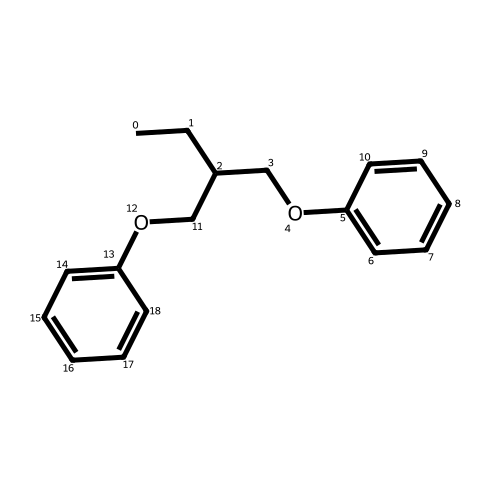 CCC(COc1ccccc1)COc1ccccc1